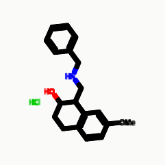 COc1ccc2c(c1)C(CNCc1ccccc1)C(O)CC2.Cl